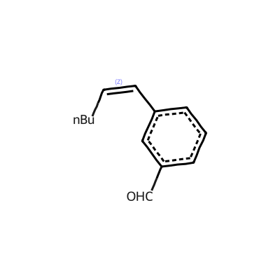 CCCC/C=C\c1cccc(C=O)c1